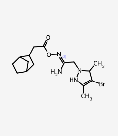 CC1=C(Br)C(C)N(C/C(N)=N/OC(=O)CC2CC3CCC2C3)N1